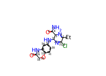 CCC1=NC(C(N)=O)C(Nc2ccc3c(c2)NC(=O)CO3)N=C1Cl